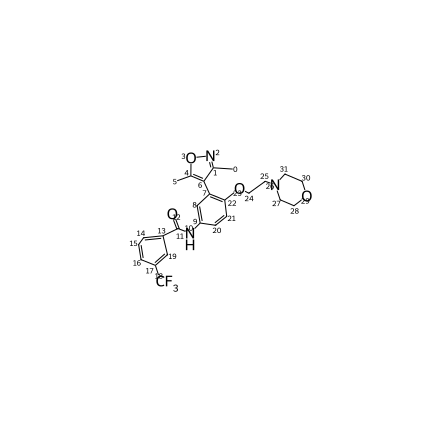 Cc1noc(C)c1-c1cc(NC(=O)c2cccc(C(F)(F)F)c2)ccc1OCCN1CCOCC1